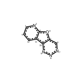 c1cnc2oc3cnnnc3c2c1